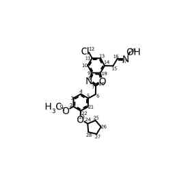 COc1ccc(Cc2nc3cc(Cl)cc(CC=NO)c3o2)cc1OC1CCCC1